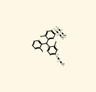 Cc1ccccc1C(c1ccccc1C)c1ccccc1C.N=C=O.N=C=O.N=C=O